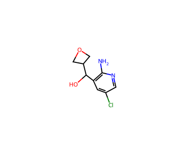 Nc1ncc(Cl)cc1C(O)C1COC1